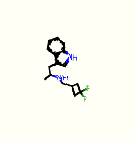 CC(Cc1c[nH]c2ccccc12)NCC1CC(F)(F)C1